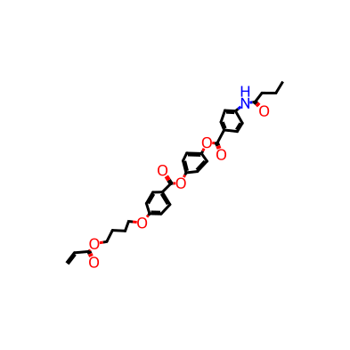 C=CC(=O)OCCCCOc1ccc(C(=O)Oc2ccc(OC(=O)c3ccc(NC(=O)CCC)cc3)cc2)cc1